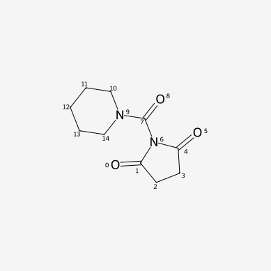 O=C1CCC(=O)N1C(=O)N1CCCCC1